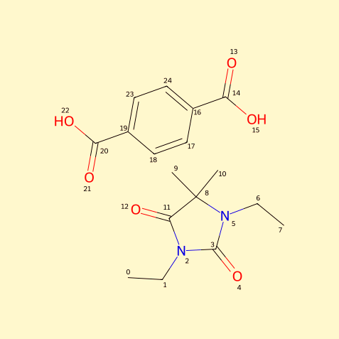 CCN1C(=O)N(CC)C(C)(C)C1=O.O=C(O)c1ccc(C(=O)O)cc1